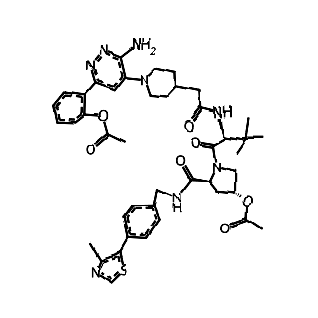 CC(=O)Oc1ccccc1-c1cc(N2CCC(CC(=O)N[C@H](C(=O)N3C[C@H](OC(C)=O)C[C@H]3C(=O)NCc3ccc(-c4scnc4C)cc3)C(C)(C)C)CC2)c(N)nn1